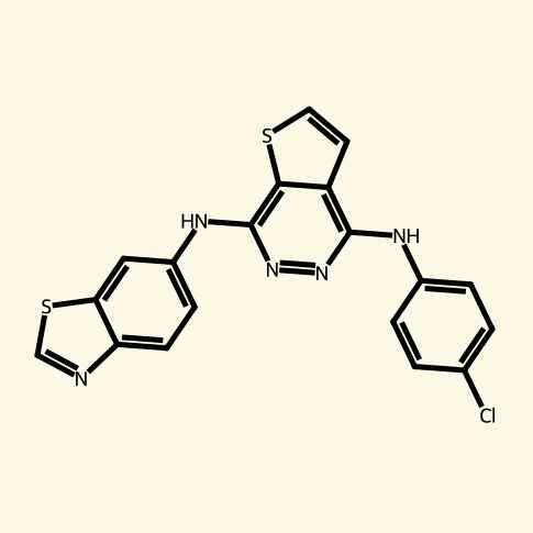 Clc1ccc(Nc2nnc(Nc3ccc4ncsc4c3)c3sccc23)cc1